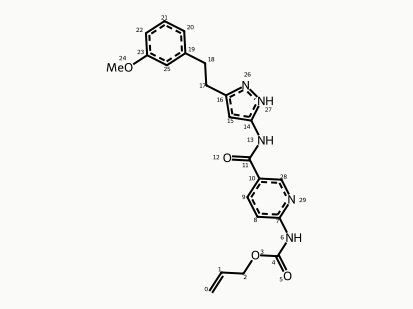 C=CCOC(=O)Nc1ccc(C(=O)Nc2cc(CCc3cccc(OC)c3)n[nH]2)cn1